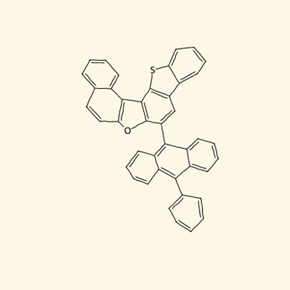 c1ccc(-c2c3ccccc3c(-c3cc4c5ccccc5sc4c4c3oc3ccc5ccccc5c34)c3ccccc23)cc1